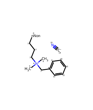 CCCCCCCCCCCC[N+](C)(C)Cc1ccccc1.[C-]#N